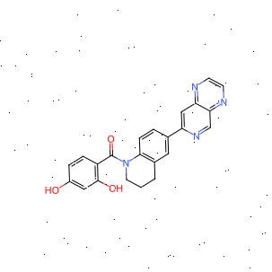 O=C(c1ccc(O)cc1O)N1CCCc2cc(-c3cc4nccnc4cn3)ccc21